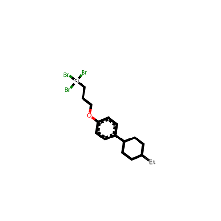 CCC1CCC(c2ccc(OCCC[Si](Br)(Br)Br)cc2)CC1